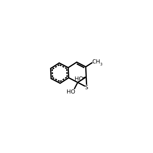 CC1=Cc2ccccc2C2(O)SC12O